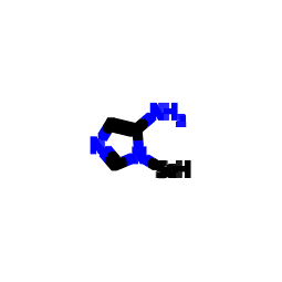 Nc1cncn1[SeH]